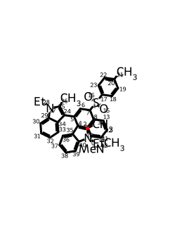 CCn1c(C)c(C(=CC(c2ccccc2)S(=O)(=O)c2ccc(C)cc2)c2c(C)n(CC)c3ccccc23)c2ccccc21.CNC